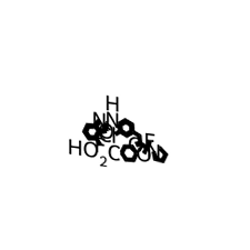 O=C(O)C1CCC(OC(F)(C(=O)Cc2ccc(Nc3nc4cccc(F)c4o3)c(Cl)c2)N2CCCC2)CC1